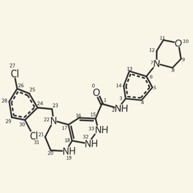 O=C(Nc1ccc(N2CCOCC2)cc1)C1=CC2=C(NCCN2Cc2cc(Cl)ccc2Cl)NN1